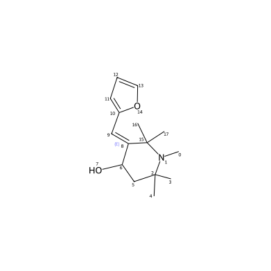 CN1C(C)(C)CC(O)/C(=C/c2ccco2)C1(C)C